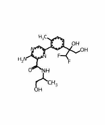 Cc1ccc(C(O)(CO)C(F)F)cc1-c1cnc(N)c(C(=O)NC(C)CO)n1